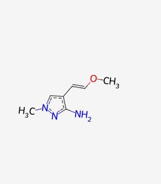 COC=Cc1cn(C)nc1N